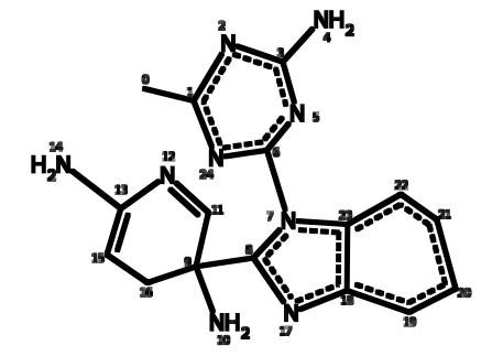 Cc1nc(N)nc(-n2c(C3(N)C=NC(N)=CC3)nc3ccccc32)n1